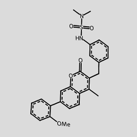 COc1ccccc1-c1ccc2c(C)c(Cc3cccc(NS(=O)(=O)N(C)C)c3)c(=O)oc2c1